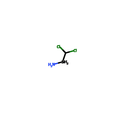 N[SiH2]C(Cl)Cl